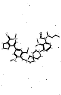 CCCC(C)N(C=O)c1cccc(N2CCC3(CCN(Cc4c(CC)cc(-c5cn(C)c(=O)c6c5CCC6)cc4OC)C3)CC2)c1N(C)C